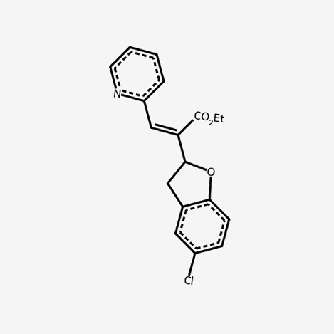 CCOC(=O)C(=Cc1ccccn1)C1Cc2cc(Cl)ccc2O1